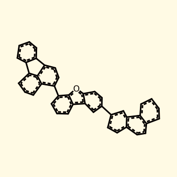 c1ccc2c(c1)-c1cccc3c(-c4cccc5c4oc4ccc(-c6ccc7ccc8ccccc8c7c6)cc45)ccc-2c13